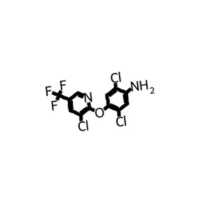 Nc1cc(Cl)c(Oc2ncc(C(F)(F)F)cc2Cl)cc1Cl